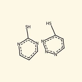 Sc1ccnnn1.Sc1ncccn1